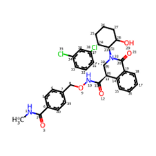 CNC(=O)c1ccc(CONC(=O)[C@@H]2c3ccccc3C(=O)N([C@H]3CCCCC3O)[C@H]2c2ccc(Cl)cc2Cl)cc1